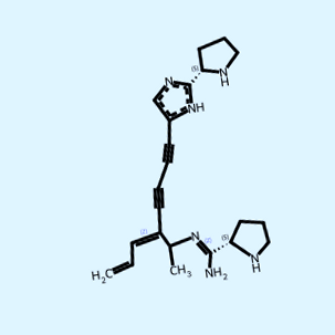 C=C/C=C(/C#CC#Cc1cnc([C@@H]2CCCN2)[nH]1)C(C)/N=C(\N)[C@@H]1CCCN1